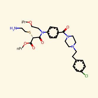 CCCOC(=O)[C@H](SCCN)C(=O)N(CCOC(C)C)c1ccc(C(=O)N2CCN(CCc3ccc(Cl)cc3)CC2)cc1